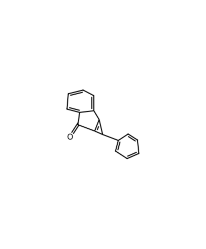 O=C1C2=C(c3ccccc31)C2c1ccccc1